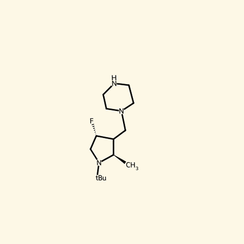 C[C@@H]1C(CN2CCNCC2)[C@@H](F)CN1C(C)(C)C